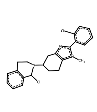 Cn1c(-c2ccccc2Cl)nc2c1CCC(N1CCc3ccccc3C1Cl)C2